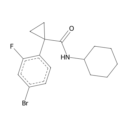 O=C(NC1CCCCC1)C1(c2ccc(Br)cc2F)CC1